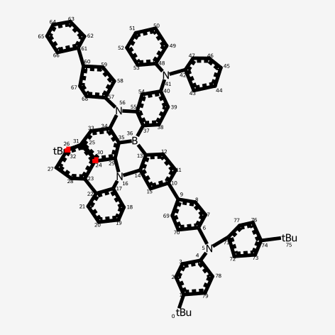 CC(C)(C)c1ccc(N(c2ccc(-c3ccc4c(c3)N(c3ccccc3-c3ccccc3)c3cc(C(C)(C)C)cc5c3B4c3ccc(N(c4ccccc4)c4ccccc4)cc3N5c3ccc(-c4ccccc4)cc3)cc2)c2ccc(C(C)(C)C)cc2)cc1